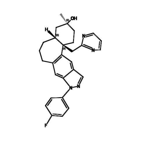 C[C@]1(O)CC[C@]2(Cc3ncccn3)c3cc4cnn(-c5ccc(F)cc5)c4cc3CCC[C@@H]2C1